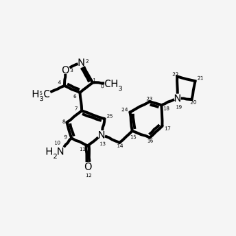 Cc1noc(C)c1-c1cc(N)c(=O)n(Cc2ccc(N3CCC3)cc2)c1